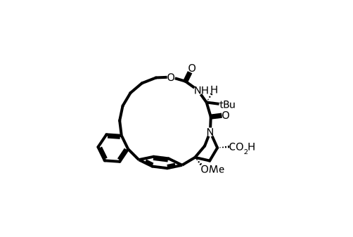 CO[C@@]12C[C@@H](C(=O)O)N(C1)C(=O)[C@H](C(C)(C)C)NC(=O)OCCCCCc1ccccc1-c1ccc2cc1